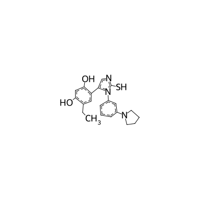 CCc1cc(-c2cnc(S)n2-c2cccc(N3CCCC3)c2)c(O)cc1O